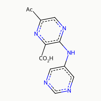 CC(=O)c1cnc(Nc2cncnc2)c(C(=O)O)n1